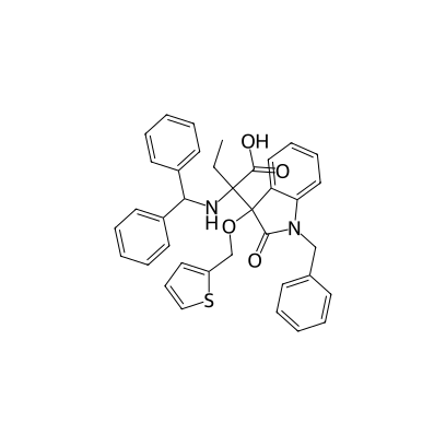 CCC(NC(c1ccccc1)c1ccccc1)(C(=O)O)C1(OCc2cccs2)C(=O)N(Cc2ccccc2)c2ccccc21